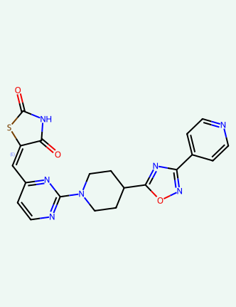 O=C1NC(=O)/C(=C\c2ccnc(N3CCC(c4nc(-c5ccncc5)no4)CC3)n2)S1